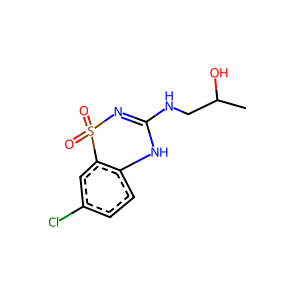 CC(O)CNC1=NS(=O)(=O)c2cc(Cl)ccc2N1